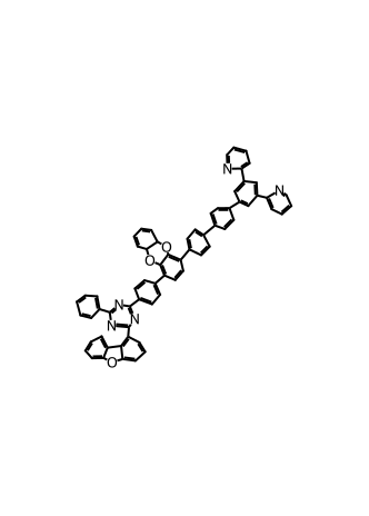 C1=CC2Oc3c(-c4ccc(-c5ccc(-c6cc(-c7ccccn7)cc(-c7ccccn7)c6)cc5)cc4)ccc(-c4ccc(-c5nc(-c6ccccc6)nc(-c6cccc7oc8ccccc8c67)n5)cc4)c3OC2C=C1